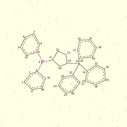 c1ccc(P(c2ccccc2)C2CCC(C(c3ccccc3)(c3ccccc3)c3ccccc3)C2)cc1